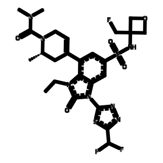 CCn1c(=O)n(-c2nnc(C(F)F)s2)c2cc(S(=O)(=O)NC3(CF)COC3)cc(C3=CCN(C(=O)N(C)C)[C@@H](C)C3)c21